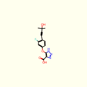 CC(C)(O)C#Cc1ccc(Oc2[nH]nnc2C(=O)O)cc1F